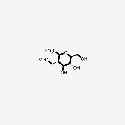 COC[C@@H]1C(C(=O)O)O[C@@H](CO)[C@H](O)C1O